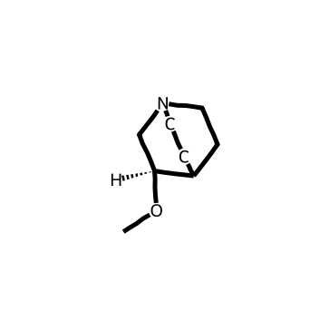 CO[C@H]1CN2CCC1CC2